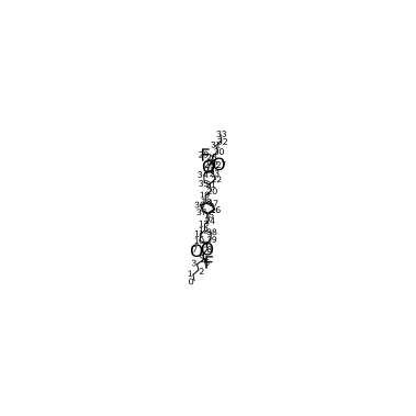 CCCC[C@H](F)C(=O)OC1CCC(CCc2ccc(CCC3CCC(OC(=O)[C@@H](F)CCCC)CC3)cc2)CC1